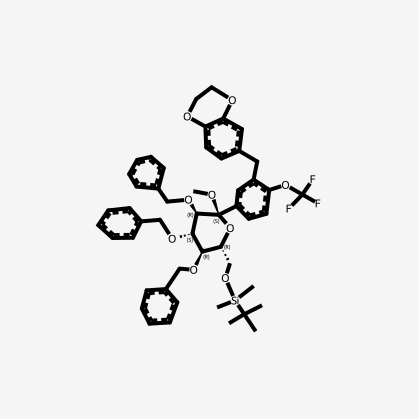 CO[C@@]1(c2ccc(OC(F)(F)F)c(Cc3ccc4c(c3)OCCO4)c2)O[C@H](CO[Si](C)(C)C(C)(C)C)[C@@H](OCc2ccccc2)[C@H](OCc2ccccc2)[C@H]1OCc1ccccc1